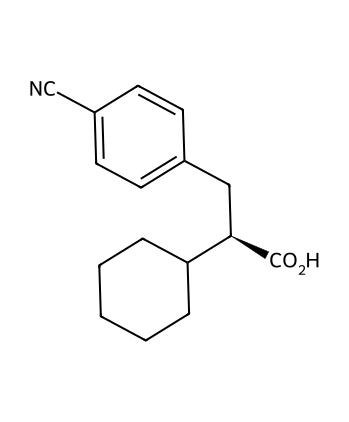 N#Cc1ccc(C[C@@H](C(=O)O)C2CCCCC2)cc1